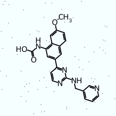 COc1ccc2cc(-c3ccnc(NCc4cccnc4)n3)cc(NC(=O)O)c2c1